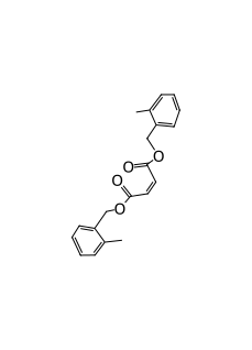 Cc1ccccc1COC(=O)/C=C\C(=O)OCc1ccccc1C